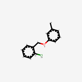 Cc1cccc(OCc2ccccc2Cl)c1